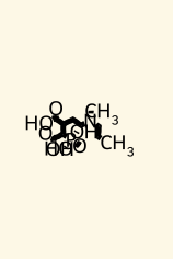 CCCN(C)CCC(C(=O)O)C(C(=O)O)P(=O)(O)O